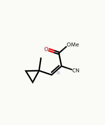 COC(=O)/C(C#N)=C\C1(C)CC1